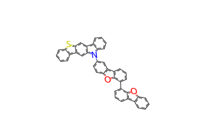 c1ccc2c(c1)oc1c(-c3cccc4c3oc3ccc(-n5c6ccccc6c6cc7sc8ccccc8c7cc65)cc34)cccc12